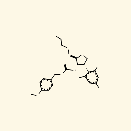 COc1ccc(COC(=O)N[C@@H]2/C(=N/OCCO)NC[C@H]2c2c(F)cc(F)cc2F)cc1